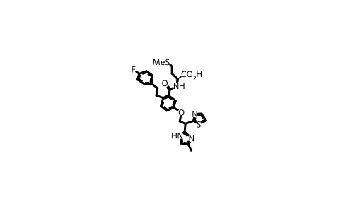 CSCC[C@H](NC(=O)c1cc(OCC(c2nc(C)c[nH]2)c2nccs2)ccc1CCc1ccc(F)cc1)C(=O)O